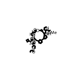 C=CC(=O)N1CC[C@H](C(=O)N(C)C(C(=O)N[C@H]2Cc3cccc(c3)-c3ccc4c(c3)c(c(-c3cccnc3[C@H](C)OC)n4CC)CC(C)(C)COC(=O)[C@@H]3CCCN(N3)C2=O)C2CCC2)C1